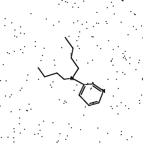 CCCCN(CCCC)c1[c]nccc1